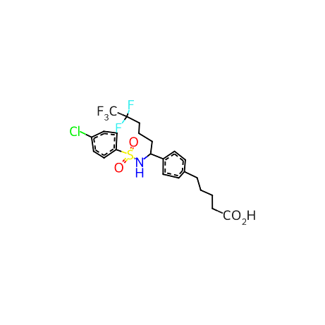 O=C(O)CCCCc1ccc(C(CCCC(F)(F)C(F)(F)F)NS(=O)(=O)c2ccc(Cl)cc2)cc1